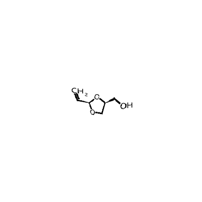 C=C[C@@H]1OC[C@H](CO)O1